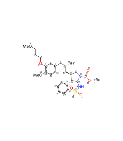 COCCCOc1cc(C[C@@H](C[C@H]2CN(C(=O)OC(C)(C)C)C(NS(C)(=O)=O)[C@@H]2c2ccccc2)C(C)C)ccc1OC